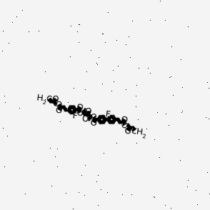 C=CC(=O)COC(=O)CCc1ccc(C(=O)O[C@H]2COC3C2OC[C@H]3OC(=O)c2ccc(-c3ccc(CCC(=O)OCC(=O)C=C)cc3F)cc2)c(F)c1